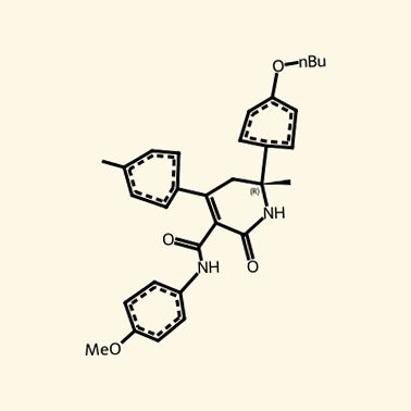 CCCCOc1ccc([C@@]2(C)CC(c3ccc(C)cc3)=C(C(=O)Nc3ccc(OC)cc3)C(=O)N2)cc1